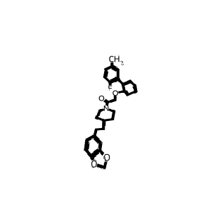 Cc1ccc(F)c(-c2ccccc2OCC(=O)N2CCC(CCc3ccc4c(c3)OCO4)CC2)c1